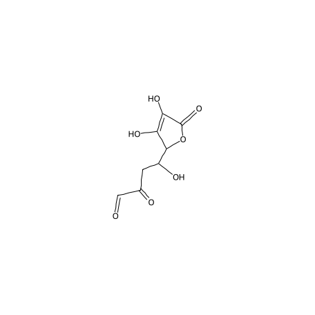 O=CC(=O)CC(O)C1OC(=O)C(O)=C1O